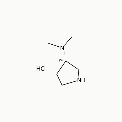 CN(C)[C@H]1CCNC1.Cl